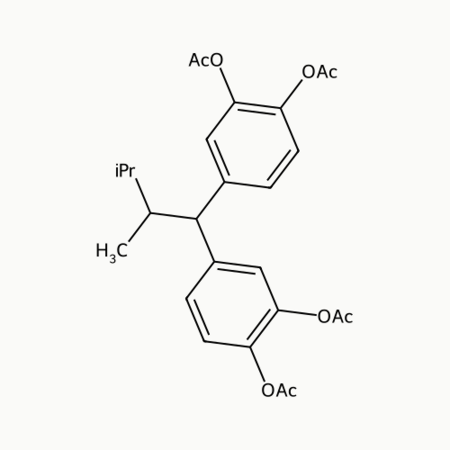 CC(=O)Oc1ccc(C(c2ccc(OC(C)=O)c(OC(C)=O)c2)C(C)C(C)C)cc1OC(C)=O